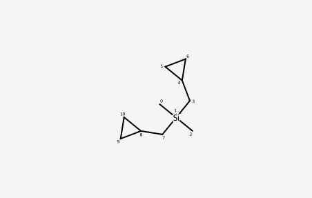 C[Si](C)(CC1CC1)CC1CC1